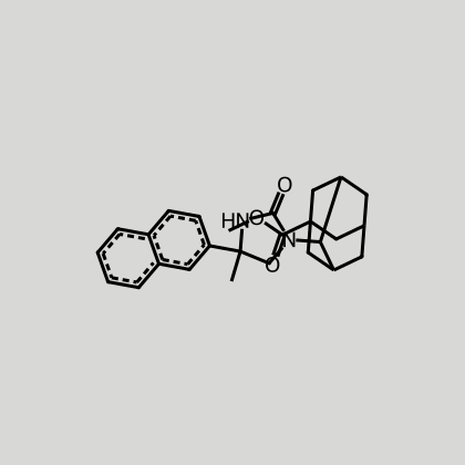 COC(=O)C12CC3CC(C1)C(N1CC(C)(c4ccc5ccccc5c4)NC1=O)C(C3)C2